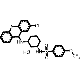 O=S(=O)(N[C@@H]1CCC[C@H](NC2c3ccccc3Sc3ccc(Cl)cc32)[C@H]1O)c1ccc(OC(F)(F)F)cc1